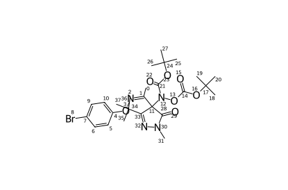 CC(=NOc1ccc(Br)cc1)C1(N(OC(=O)OC(C)(C)C)C(=O)OC(C)(C)C)C(=O)N(C)N=C1C(C)(C)C